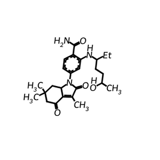 CCC(CCC(C)O)Nc1cc(N2C(=O)C(C)=C3C(=O)CC(C)(C)CC32)ccc1C(N)=O